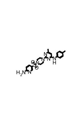 Cc1ccc(Nc2cc(C)nc(N3CCN(S(=O)(=O)c4ccc(N)nc4)CC3)n2)cc1